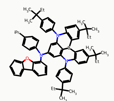 CCC(C)(C)c1ccc(N2c3ccc(C(C)(C)CC)cc3B3c4cc(C(C)(C)CC)ccc4N(c4ccc(C(C)(C)CC)cc4)c4cc(N(c5ccc(C(C)C)cc5)c5cccc6c5oc5ccccc56)cc2c43)cc1